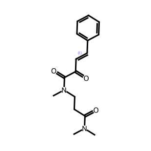 CN(C)C(=O)CCN(C)C(=O)C(=O)/C=C/c1ccccc1